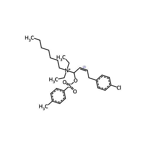 CCCCCCC[N+](CC)(CC)C(/C=C\Cc1ccc(Cl)cc1)OS(=O)(=O)c1ccc(C)cc1